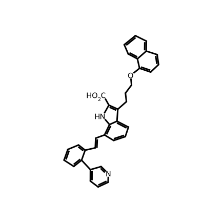 O=C(O)c1[nH]c2c(/C=C/c3ccccc3-c3cccnc3)cccc2c1CCCOc1cccc2ccccc12